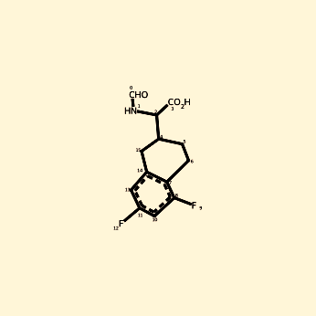 O=CNC(C(=O)O)C1CCc2c(F)cc(F)cc2C1